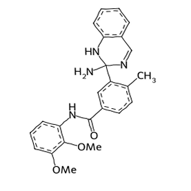 COc1cccc(NC(=O)c2ccc(C)c(C3(N)N=Cc4ccccc4N3)c2)c1OC